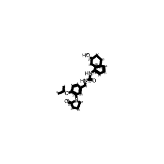 CC(C)Oc1ccc(CNC(=O)Nc2cccc3c2CC(O)CC3)cc1N1CCCC1=O